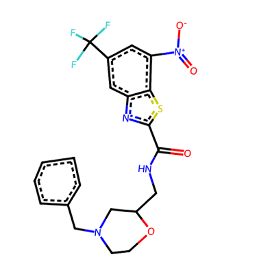 O=C(NCC1CN(Cc2ccccc2)CCO1)c1nc2cc(C(F)(F)F)cc([N+](=O)[O-])c2s1